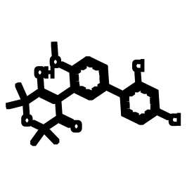 COc1ccc(-c2ccc(Cl)cc2Cl)cc1C1=C(O)C(C)(C)OC(C)(C)C1=O